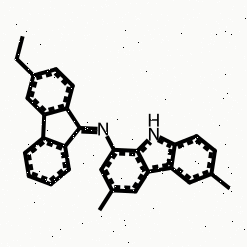 CCc1ccc2c(c1)-c1ccccc1C2=Nc1cc(C)cc2c1[nH]c1ccc(C)cc12